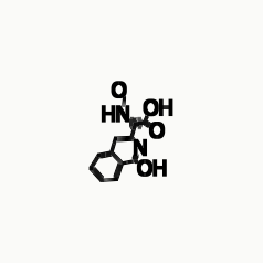 O=CN[C@H](C(=O)O)c1cc2ccccc2c(O)n1